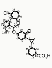 [2H]C(Oc1ccc(C2CC2c2cccc(C(=O)O)c2)c(Cl)c1)c1c(C(C)C)nnn1-c1c(Cl)cccc1Cl